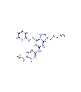 CCCCn1cnc2c(OCc3ccccn3)nc(Nc3ccc(OC)nc3)nc21